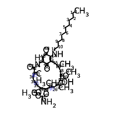 CCCCCCCCCCCCNC1=C2C[C@@H](C)C[C@H](OC)[C@H](O)[C@@H](C)/C=C(\C)[C@H](OC(N)=O)[C@@H](OC)/C=C\C=C(/C)C(=O)NC(=CC1=O)C2=O